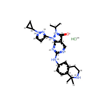 CC(C)n1c(=O)c2cnc(Nc3ccc4c(c3)CCNC4(C)C)nc2n1-c1ccn(C2CC2)n1.Cl